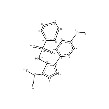 COc1ccc(-c2noc(C(F)F)c2NS(=O)(=O)c2ccccc2)cc1